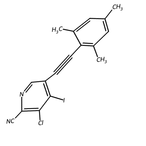 Cc1cc(C)c(C#Cc2cnc(C#N)c(Cl)c2I)c(C)c1